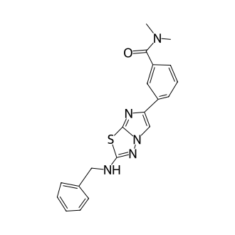 CN(C)C(=O)c1cccc(-c2cn3nc(NCc4ccccc4)sc3n2)c1